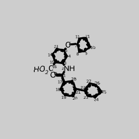 O=C(Nc1cc(Oc2ccccc2)ccc1C(=O)O)c1cccc(-c2ccccc2)c1